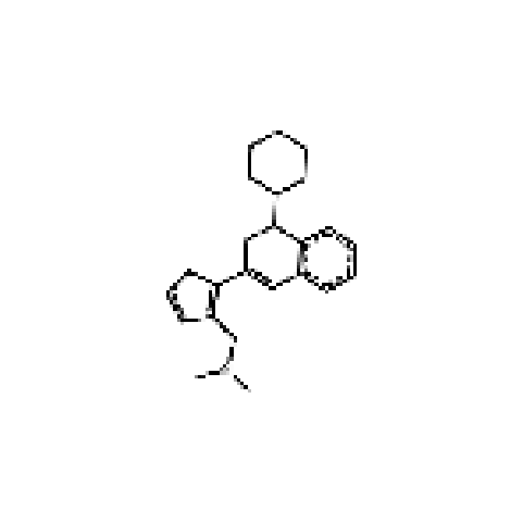 CN(C)CC1=C(C2=Cc3ccccc3C(C3CCCCC3)C2)CC=C1